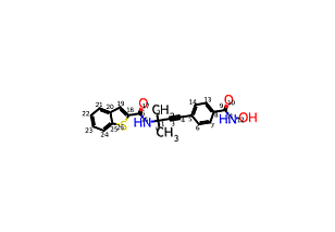 CC(C)(C#Cc1ccc(C(=O)NO)cc1)NC(=O)c1cc2ccccc2s1